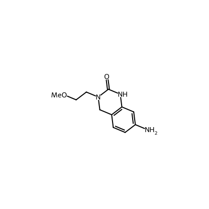 COCCN1Cc2ccc(N)cc2NC1=O